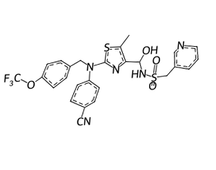 Cc1sc(N(Cc2ccc(OC(F)(F)F)cc2)c2ccc(C#N)cc2)nc1C(O)NS(=O)(=O)Cc1cccnc1